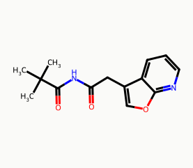 CC(C)(C)C(=O)NC(=O)Cc1coc2ncccc12